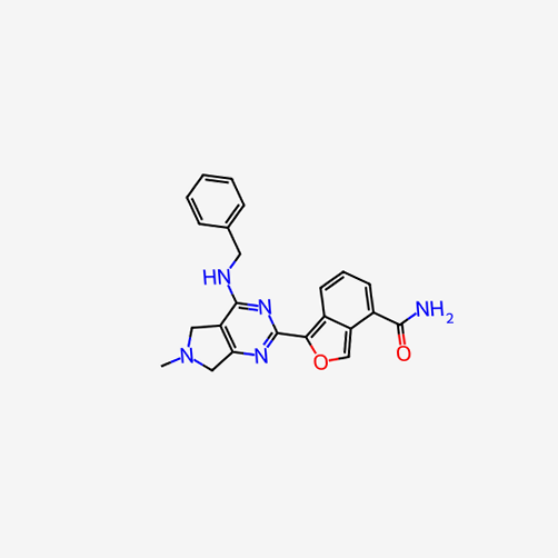 CN1Cc2nc(-c3occ4c(C(N)=O)cccc34)nc(NCc3ccccc3)c2C1